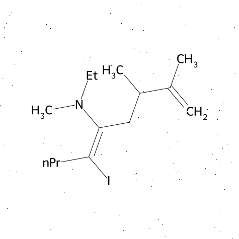 C=C(C)C(C)C/C(=C(\I)CCC)N(C)CC